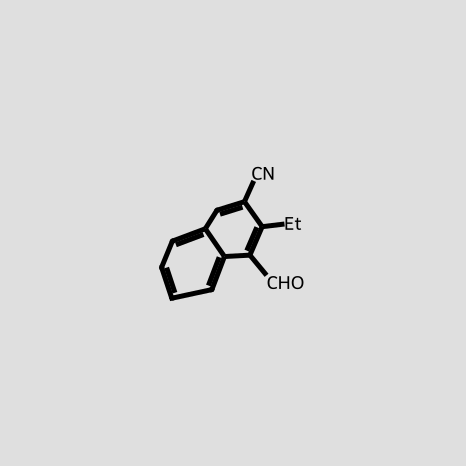 CCc1c(C#N)cc2ccccc2c1C=O